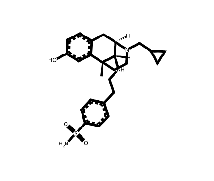 C[C@@]12CCN(CC3CC3)[C@H](Cc3ccc(O)cc31)[C@@H]2NCCc1ccc(S(N)(=O)=O)cc1